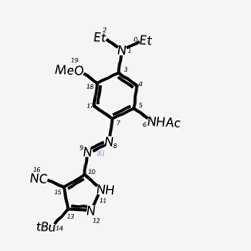 CCN(CC)c1cc(NC(C)=O)c(/N=N/c2[nH]nc(C(C)(C)C)c2C#N)cc1OC